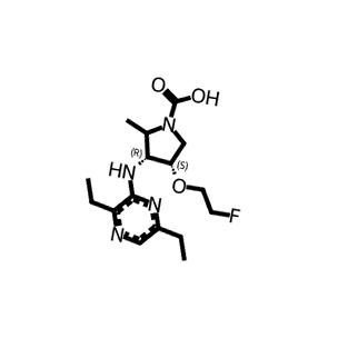 CCc1cnc(CC)c(N[C@@H]2C(C)N(C(=O)O)C[C@@H]2OCCF)n1